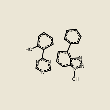 Oc1ccccc1-c1ncncn1.On1nnc2c(-c3ccccc3)cccc21